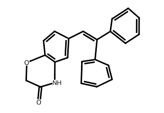 O=C1COc2ccc(C=C(c3ccccc3)c3ccccc3)cc2N1